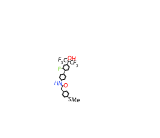 CSc1ccc(CC(=O)Nc2ccc(-c3ccc(C(O)(C(F)(F)F)C(F)(F)F)cc3F)cc2)cc1